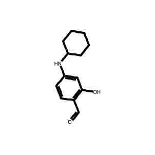 O=Cc1ccc(NC2CCCCC2)cc1O